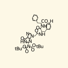 CC(C)(C)OC(=O)N(C(=O)OC(C)(C)C)c1nc2c(ncn2CC(=O)NC(Cc2ccccc2)C(=O)NC(Cc2ccccc2)C(=O)O)c(=O)[nH]1